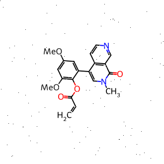 C=CC(=O)Oc1c(OC)cc(OC)cc1-c1cn(C)c(=O)c2cnccc12